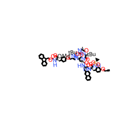 C#CCOc1ccc(C[C@H](NC(=O)[C@H](Cc2ccc3ccccc3c2)NC(=O)[C@@H]2C[C@H](n3cc(COc4ccc(C[C@H](NC(=O)OCC5c6ccccc6-c6ccccc65)C(=O)OC)cc4)nn3)CN2C(=O)[C@@H](NC(=O)[C@H](C)N(C)C(=O)OC(C)(C)C)C(C)(C)C)C(=O)NS(=O)(=O)C2CC2)cc1